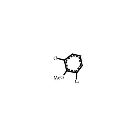 COc1c(Cl)c[c]cc1Cl